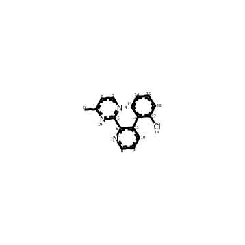 Cc1ccnc(-c2ncccc2-c2ccccc2Cl)n1